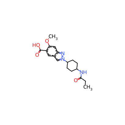 CCC(=O)NC1CCC(n2cc3cc(C(=O)O)c(OC)cc3n2)CC1